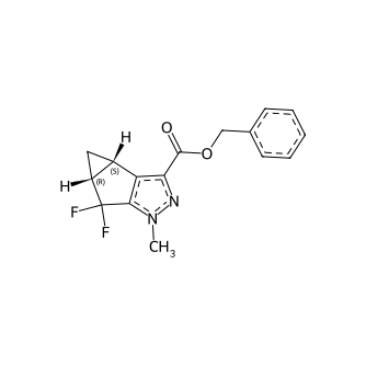 Cn1nc(C(=O)OCc2ccccc2)c2c1C(F)(F)[C@@H]1C[C@H]21